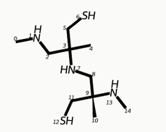 CNCC(C)(CS)NC[C@@](C)(CS)NC